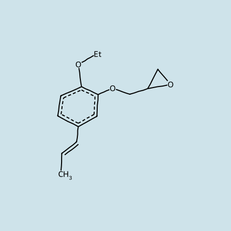 CC=Cc1ccc(OCC)c(OCC2CO2)c1